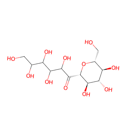 O=C(C(O)C(O)C(O)C(O)CO)[C@@H]1O[C@H](CO)[C@@H](O)[C@H](O)[C@H]1O